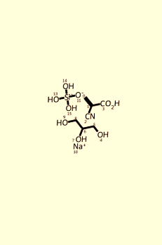 C=C(C#N)C(=O)O.OCC(O)CO.[Na+].[O-][Si](O)(O)O